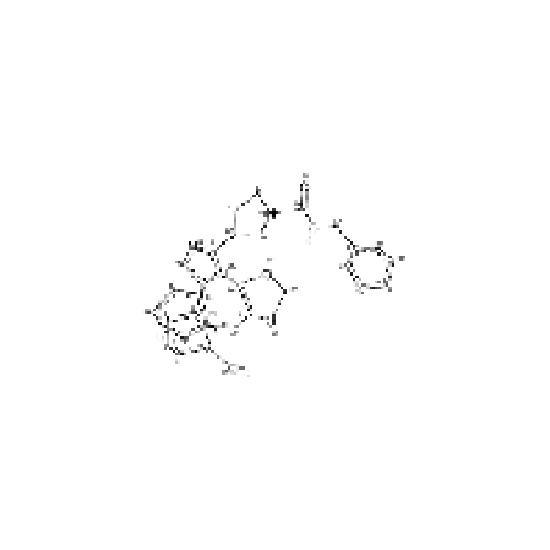 Cc1cccc(-c2cnc(C3CCN(C(=O)OCc4ccccc4)C3)n2C2=C(Cc3ccccc3)OCO2)n1